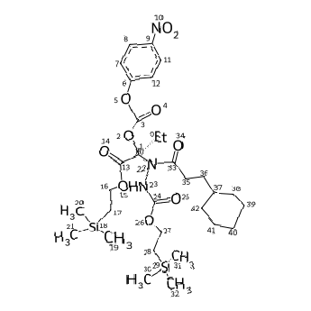 CC[C@@](OC(=O)Oc1ccc([N+](=O)[O-])cc1)(C(=O)OCC[Si](C)(C)C)N(NC(=O)OCC[Si](C)(C)C)C(=O)CCC1CCCCC1